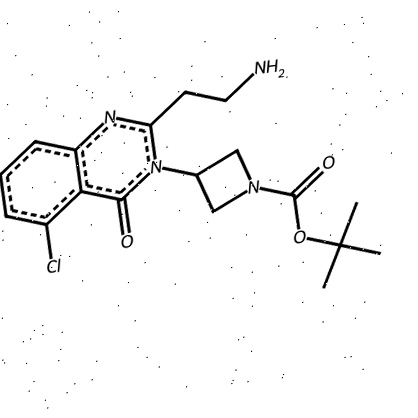 CC(C)(C)OC(=O)N1CC(n2c(CCN)nc3cccc(Cl)c3c2=O)C1